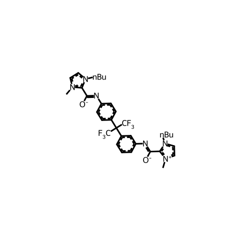 CCCCn1cc[n+](C)c1/C([O-])=N/c1ccc(C(c2cccc(/N=C(\[O-])c3n(CCCC)cc[n+]3C)c2)(C(F)(F)F)C(F)(F)F)cc1